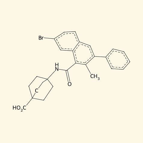 Cc1c(-c2ccccc2)cc2ccc(Br)cc2c1C(=O)NC12CCC(C(=O)O)(CC1)CC2